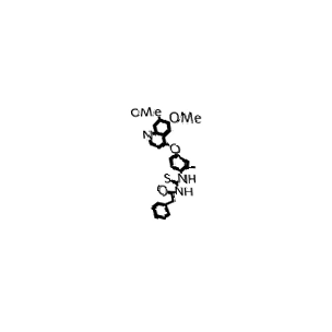 COc1cc2nccc(Oc3ccc(NC(=S)NC(=O)Cc4ccccc4)c(C)c3)c2cc1OC